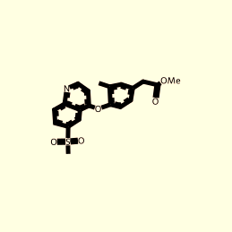 COC(=O)Cc1ccc(Oc2ccnc3ccc(S(C)(=O)=O)cc23)c(C)c1